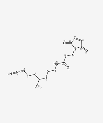 CC(CCN=[N+]=[N-])OCCNC(=O)CCN1C(=O)C=CC1=O